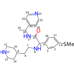 CSc1ccc(C(NCCC2CCNCC2)C(=O)NC(C)c2ccncc2)cc1